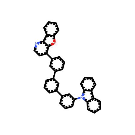 c1cc(-c2cccc(-c3ccnc4c3oc3ccccc34)c2)cc(-c2cccc(-n3c4ccccc4c4ccccc43)c2)c1